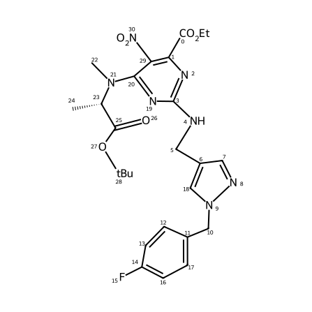 CCOC(=O)c1nc(NCc2cnn(Cc3ccc(F)cc3)c2)nc(N(C)[C@@H](C)C(=O)OC(C)(C)C)c1[N+](=O)[O-]